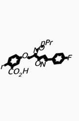 CCCON=C(COc1ccc(Br)c(C(=O)O)c1)c1cc(-c2ccc(F)cc2)no1